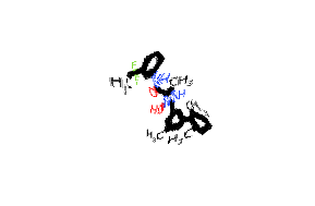 CCC(F)(F)c1cccc(NC(=O)c2c(C)[nH]c(-c3cc(C)cc(-c4c(C)cccc4C)c3)[n+]2O)c1